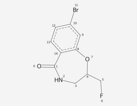 O=C1NCC(CF)Oc2cc(Br)ccc21